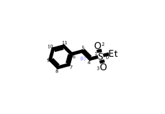 CCS(=O)(=O)/C=C/c1c[c]ccc1